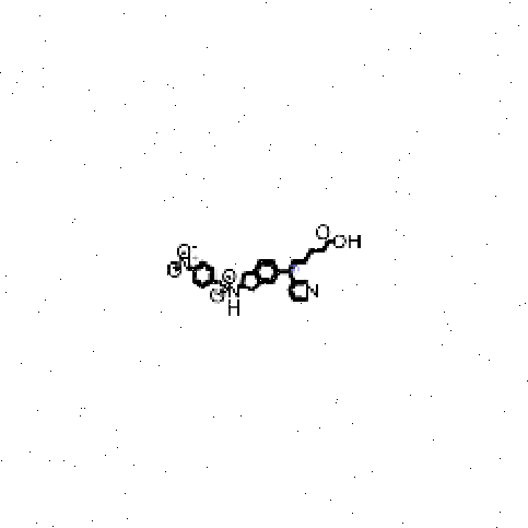 O=C(O)CCC/C=C(\c1cccnc1)c1ccc2c(c1)CC(NS(=O)(=O)c1ccc([N+](=O)[O-])cc1)C2